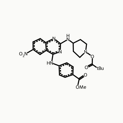 COC(=O)c1ccc(Nc2nc(NC3CCN(OC(=O)C(C)(C)C)CC3)nc3ccc([N+](=O)[O-])cc23)cc1